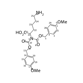 COc1ccc(COC(=O)N(C(=O)OCc2ccc(OC)cc2)C(CCCCN)C(=O)O)cc1